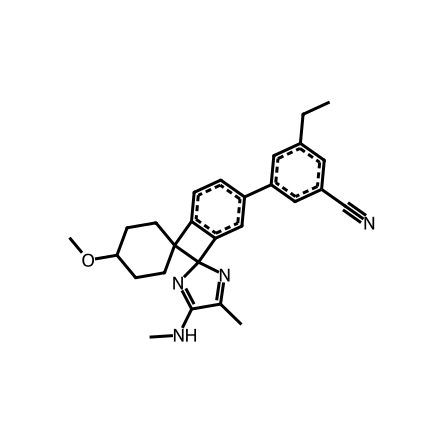 CCc1cc(C#N)cc(-c2ccc3c(c2)C2(N=C(C)C(NC)=N2)C32CCC(OC)CC2)c1